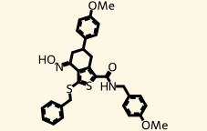 COc1ccc(CNC(=O)c2sc(SCc3ccccc3)c3c2CC(c2ccc(OC)cc2)C/C3=N\O)cc1